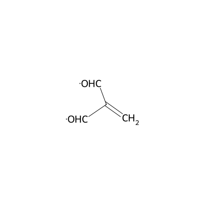 C=C([C]=O)[C]=O